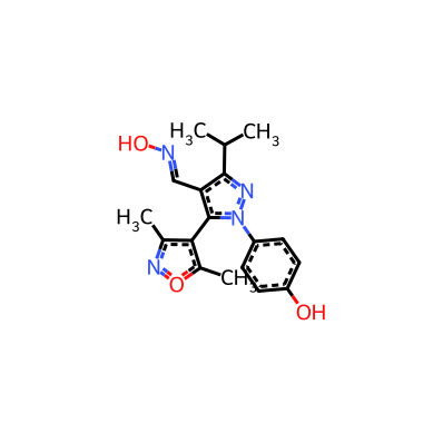 Cc1noc(C)c1-c1c(/C=N/O)c(C(C)C)nn1-c1ccc(O)cc1